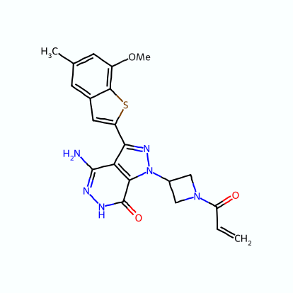 C=CC(=O)N1CC(n2nc(-c3cc4cc(C)cc(OC)c4s3)c3c(N)n[nH]c(=O)c32)C1